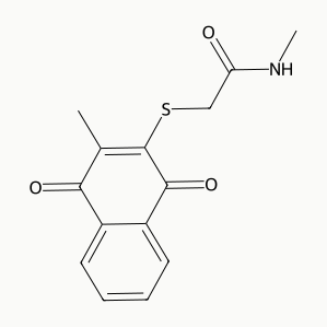 CNC(=O)CSC1=C(C)C(=O)c2ccccc2C1=O